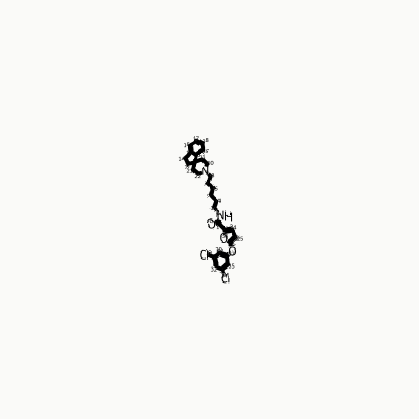 O=C(NCCCCCCN1CCC2(CCc3ccccc32)CC1)c1ccc(Oc2cc(Cl)cc(Cl)c2)o1